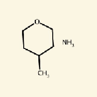 CC1CCOCC1.N